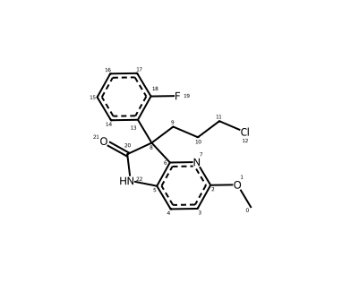 COc1ccc2c(n1)C(CCCCl)(c1ccccc1F)C(=O)N2